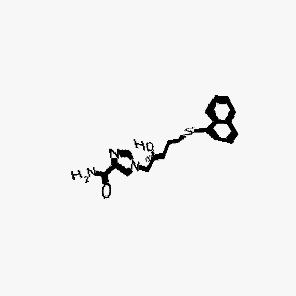 NC(=O)c1cn(C[C@@H](O)CCCSc2cccc3ccccc23)cn1